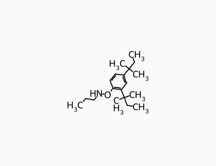 CCCNOc1ccc(C(C)(C)CC)cc1C(C)(C)CC